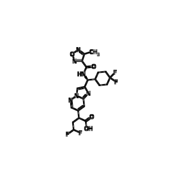 Cc1nonc1C(=O)N[C@H](c1cn2ncc(C(CC(F)F)C(=O)O)cc2n1)C1CCC(F)(F)CC1